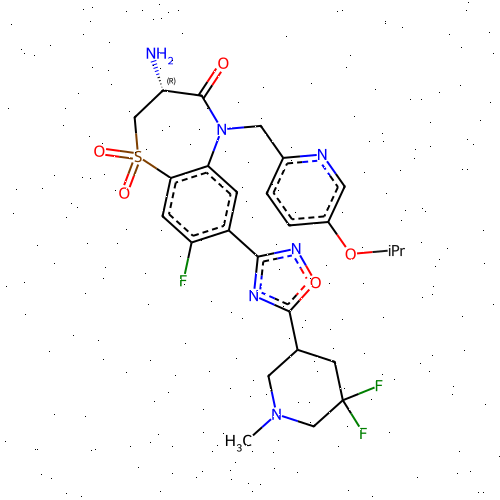 CC(C)Oc1ccc(CN2C(=O)[C@@H](N)CS(=O)(=O)c3cc(F)c(-c4noc(C5CN(C)CC(F)(F)C5)n4)cc32)nc1